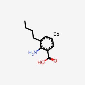 CCCCc1cccc(C(=O)O)c1N.[Co]